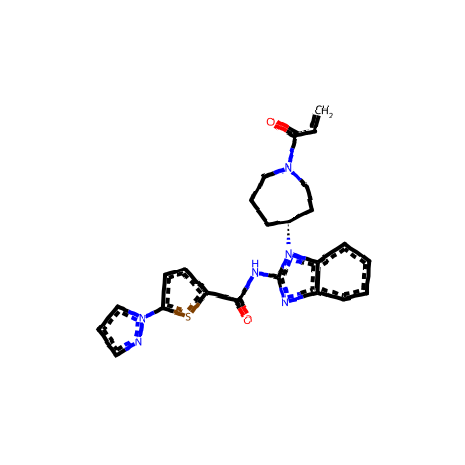 C=CC(=O)N1CCC[C@@H](n2c(NC(=O)c3ccc(-n4cccn4)s3)nc3ccccc32)CC1